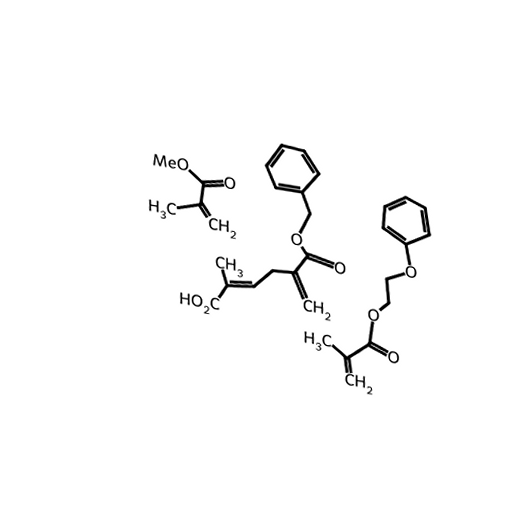 C=C(C)C(=O)OC.C=C(C)C(=O)OCCOc1ccccc1.C=C(CC=C(C)C(=O)O)C(=O)OCc1ccccc1